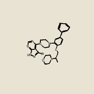 CC(COc1ccc(-c2ccccc2)cc1N1CCN(c2ncnc3[nH]nc(Br)c23)CC1)N1CCOCC1